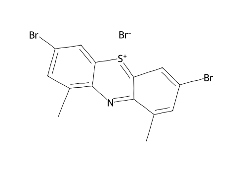 Cc1cc(Br)cc2[s+]c3cc(Br)cc(C)c3nc12.[Br-]